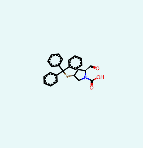 O=C[C@@H]1C[C@H](SC(c2ccccc2)(c2ccccc2)c2ccccc2)CN1C(=O)O